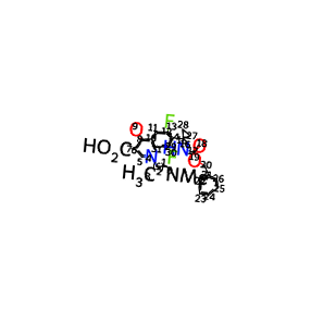 CNC[C@H](C)n1cc(C(=O)O)c(=O)c2cc(F)c(C3(NC(=O)OCc4ccccc4)CC3)c(F)c21